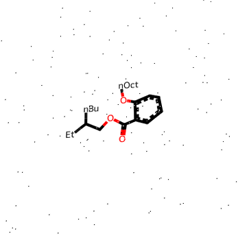 CCCCCCCCOc1ccccc1C(=O)OCC(CC)CCCC